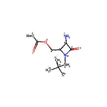 COC(=O)OCC1C(N)C(=O)N1[SiH2]C(C)(C)C(C)C